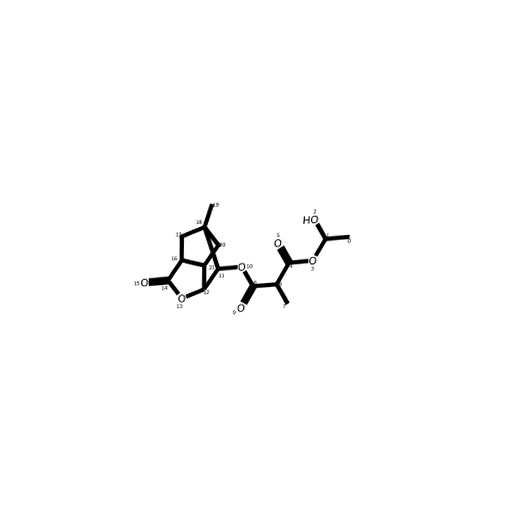 CC(O)OC(=O)C(C)C(=O)OC1C2OC(=O)C3CC1(C)CC32